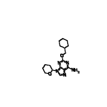 Nc1nc(OCC2CCCCC2)nc2c1ncn2C1CCCCO1